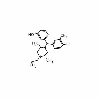 C=CCN1C[C@@H](C)N(C(c2cccc(O)c2)c2ccc(Cl)c(C)c2)C[C@@H]1C